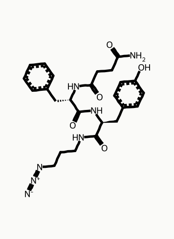 [N-]=[N+]=NCCCNC(=O)[C@H](Cc1ccc(O)cc1)NC(=O)[C@H](Cc1ccccc1)NC(=O)CCC(N)=O